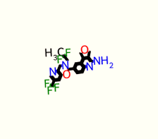 CC(F)(F)CN(Cc1ccc(C(F)(F)F)cn1)C(=O)c1ccc2nc(N)c3c(c2c1)COC3